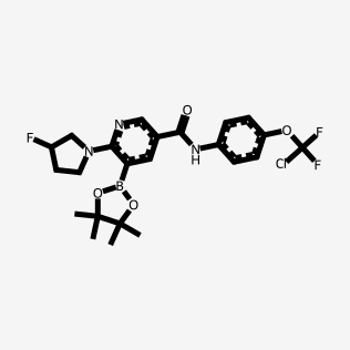 CC1(C)OB(c2cc(C(=O)Nc3ccc(OC(F)(F)Cl)cc3)cnc2N2CCC(F)C2)OC1(C)C